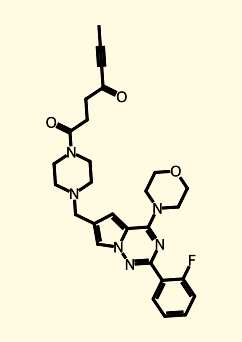 CC#CC(=O)CCC(=O)N1CCN(Cc2cc3c(N4CCOCC4)nc(-c4ccccc4F)nn3c2)CC1